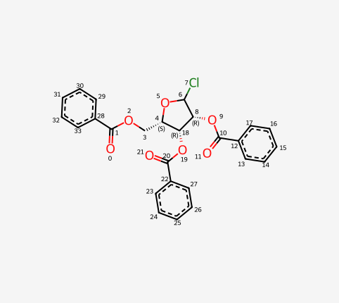 O=C(OC[C@@H]1OC(Cl)[C@H](OC(=O)c2ccccc2)[C@@H]1OC(=O)c1ccccc1)c1ccccc1